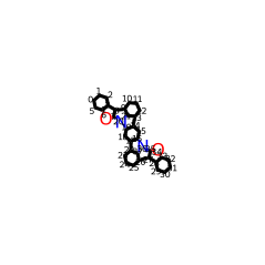 c1ccc2c(c1)oc1c2c2cccc3c4cc5c(cc4n1c32)c1cccc2c3c4ccccc4oc3n5c12